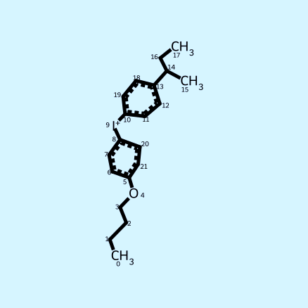 CCCCOc1ccc([I+]c2ccc(C(C)CC)cc2)cc1